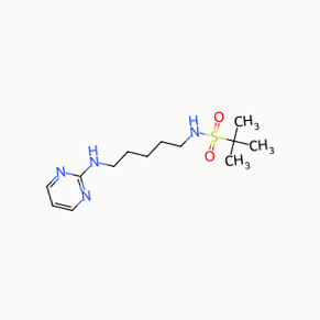 CC(C)(C)S(=O)(=O)NCCCCCNc1ncccn1